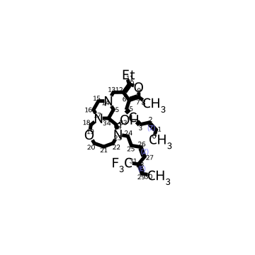 C/C=C\C=C=Cc1c(C)oc(CC)c1CN1CCN2COCCCN(CC/C=C\C(=C/C)C(F)(F)F)[C@@H](O)C2C1